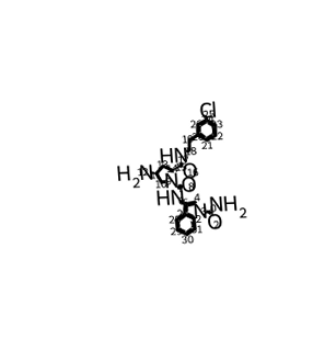 NC(=O)n1cc(NC(=O)N2C[C@@H](N)C[C@H]2C(=O)NCCc2cccc(Cl)c2)c2ccccc21